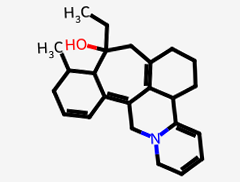 CCC1(O)CC2=C3C(=C4C=CCC(C)C41)CN1CC=CC=C1C3CCC2